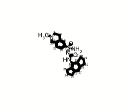 CN1CCc2cc([S@](N)(=O)=NC(=O)Nc3c4c(cc5c3CCC5)CCC4)ccc2C1